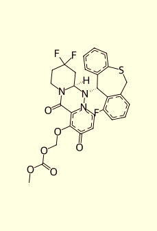 COC(=O)OCOc1c2n(ccc1=O)N([C@@H]1c3ccccc3SCc3cccc(F)c31)[C@@H]1CC(F)(F)CCN1C2=O